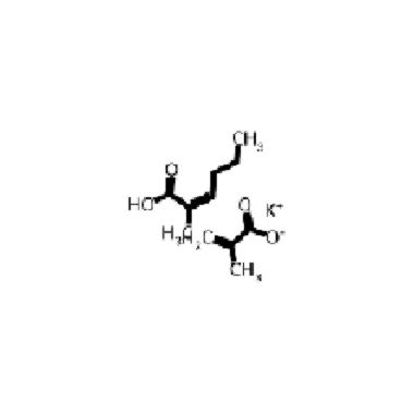 C=C(C)C(=O)[O-].CCCC=C(C)C(=O)O.[K+]